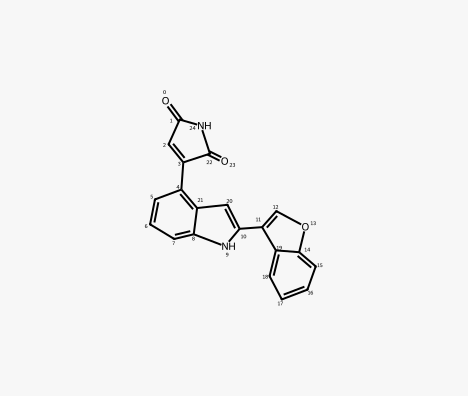 O=C1C=C(c2cccc3[nH]c(-c4coc5ccccc45)cc23)C(=O)N1